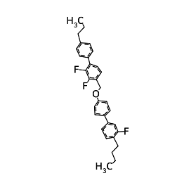 CCCCc1ccc(-c2ccc(OCc3ccc(-c4ccc(CCC)cc4)c(F)c3F)cc2)cc1F